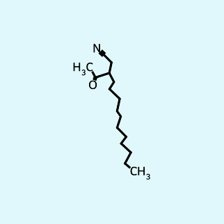 CCCCCCCCCCCC(CC#N)C(C)=O